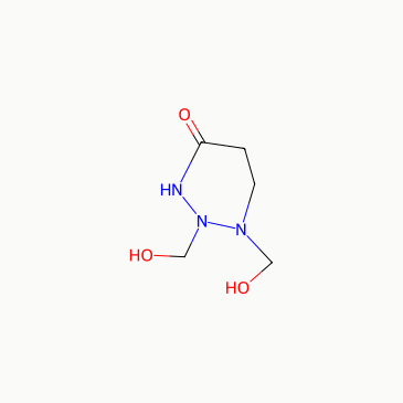 O=C1CCN(CO)N(CO)N1